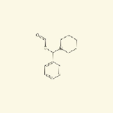 O=COC(c1ccccc1)N1CCCCC1